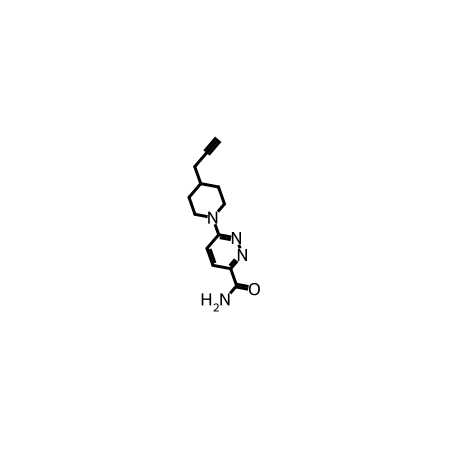 C#CCC1CCN(c2ccc(C(N)=O)nn2)CC1